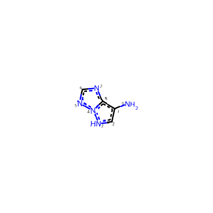 Nc1c[nH]n2ncnc12